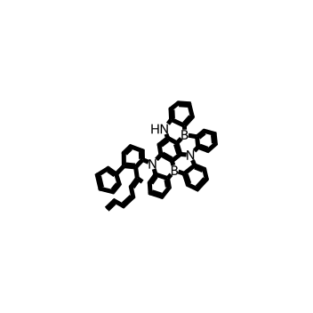 C=C/C=C\C=C(/C)c1c(-c2ccccc2)cccc1N1c2ccccc2B2c3ccccc3N3c4ccccc4B4c5ccccc5Nc5cc1c2c3c54